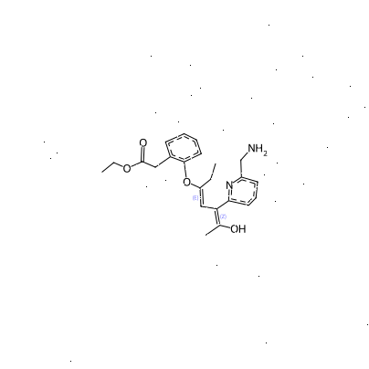 CCOC(=O)Cc1ccccc1O/C(=C/C(=C(\C)O)c1cccc(CN)n1)CC